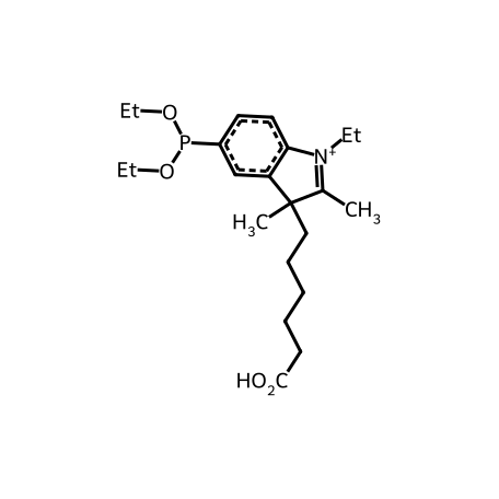 CCOP(OCC)c1ccc2c(c1)C(C)(CCCCCC(=O)O)C(C)=[N+]2CC